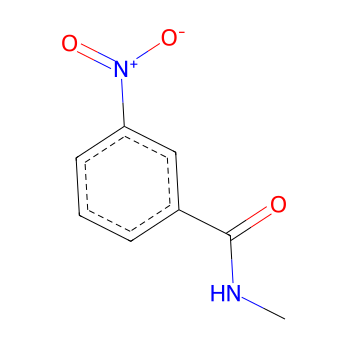 CNC(=O)c1cccc([N+](=O)[O-])c1